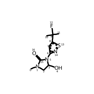 CN1CC(O)N(c2cc(C(C)(C)F)sn2)C1=O